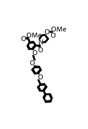 COC(=O)OC1CCN(C(=O)c2cc(C(=O)OC)ccc2OCCOc2ccc(OCc3ccc(-c4ccccc4)cc3)cc2)CC1